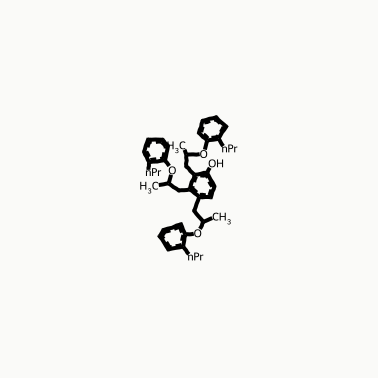 CCCc1ccccc1OC(C)Cc1ccc(O)c(CC(C)Oc2ccccc2CCC)c1CC(C)Oc1ccccc1CCC